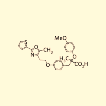 COc1ccc(O[C@@](C)(Cc2ccc(OCCc3nc(-c4cccs4)oc3C)cc2)C(=O)O)cc1